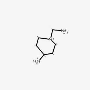 NCN1CCC(N)CC1